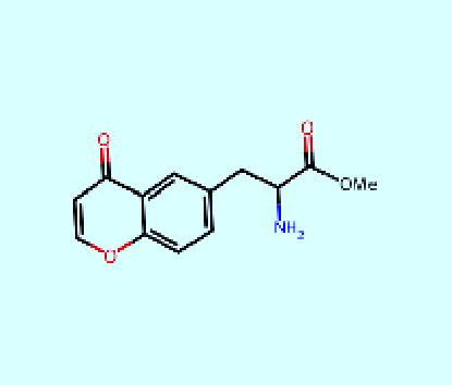 COC(=O)C(N)Cc1ccc2occc(=O)c2c1